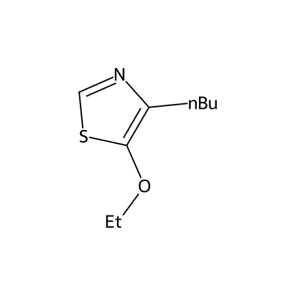 CCCCc1ncsc1OCC